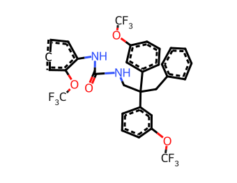 O=C(NCC(Cc1ccccc1)(c1cccc(OC(F)(F)F)c1)c1cccc(OC(F)(F)F)c1)Nc1ccccc1OC(F)(F)F